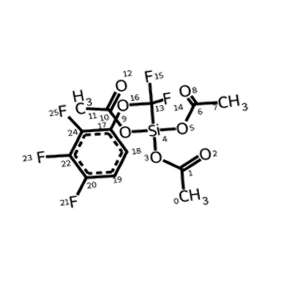 CC(=O)O[Si](OC(C)=O)(OC(C)=O)C(F)(F)Oc1ccc(F)c(F)c1F